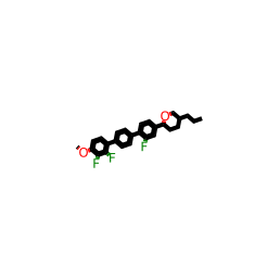 CCCC1CCC(c2ccc(-c3ccc(-c4ccc(OC)c(F)c4F)cc3)c(F)c2)OC1